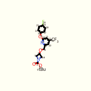 CC(C)(C)OC(=O)N1CC(OCc2cc(C(F)(F)F)cc(Oc3ccc(F)cc3)n2)C1